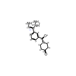 N/N=C(\NN)c1cc(C(=O)N2CCC(=O)CC2)ccn1